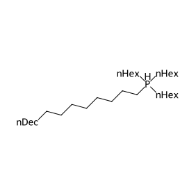 CCCCCCCCCCCCCCCCCC[PH](CCCCCC)(CCCCCC)CCCCCC